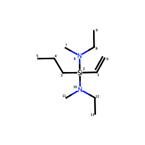 C=C[Si](CCC)(N(C)CC)N(C)CC